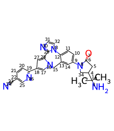 CC(C)(N)C1CC(=O)N(c2ccc3c(c2)Cn2cc(-c4ccc(C#N)cn4)cc2-c2nccn2-3)C1